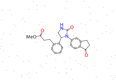 COC(=O)CCc1ccccc1C1CNC(=O)N1c1ccc2c(c1)CCC2=O